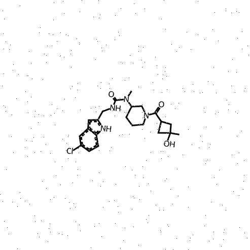 CN(C(=O)NCc1cc2cc(Cl)ccc2[nH]1)C1CCCN(C(=O)C2CC(C)(O)C2)C1